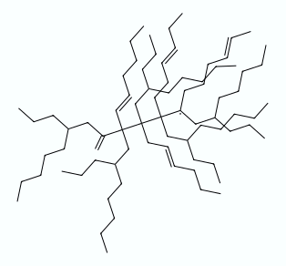 C=C(CC(CCC)CCCCC)C(C=CCCCC)(CC(CCC)CCCCC)C(CC=CCCC)(CC(CCC)CCCCC)C(CCC=CCC)(CC(CCC)CCCCC)[C](CCCC=CC)CC(CCC)CCCCC